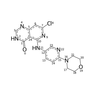 O=c1[nH]cnc2cc(Cl)nc(Nc3ccc(N4CCOCC4)nc3)c12